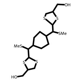 CSC(C1CCC(C(SC)C2SCC(CO)S2)CC1)C1SCC(CO)S1